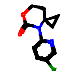 O=C1OCCC2(CC2)N1c1ccc(Br)cn1